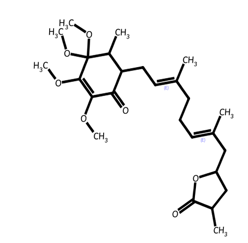 COC1=C(OC)C(OC)(OC)C(C)C(C/C=C(\C)CC/C=C(\C)CC2CC(C)C(=O)O2)C1=O